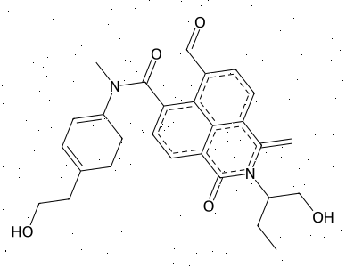 C=c1c2ccc(C=O)c3c(C(=O)N(C)C4=CC=C(CCO)CC4)ccc(c(=O)n1C(CC)CO)c32